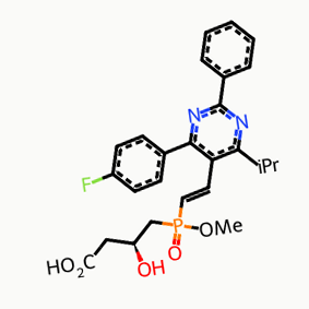 COP(=O)(C=Cc1c(-c2ccc(F)cc2)nc(-c2ccccc2)nc1C(C)C)C[C@@H](O)CC(=O)O